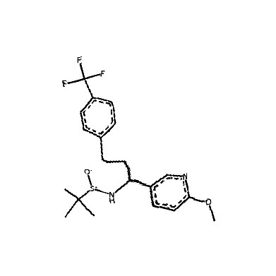 COc1ccc(C(CCc2ccc(C(F)(F)F)cc2)N[S+]([O-])C(C)(C)C)cn1